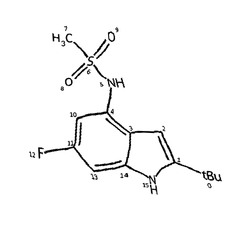 CC(C)(C)c1cc2c(NS(C)(=O)=O)cc(F)cc2[nH]1